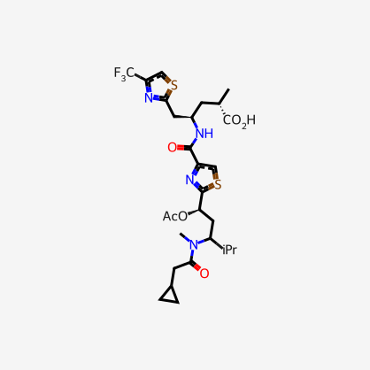 CC(=O)O[C@H](CC(C(C)C)N(C)C(=O)CC1CC1)c1nc(C(=O)N[C@@H](Cc2nc(C(F)(F)F)cs2)C[C@H](C)C(=O)O)cs1